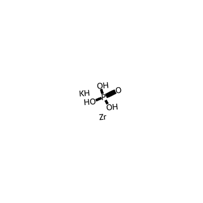 O=P(O)(O)O.[KH].[Zr]